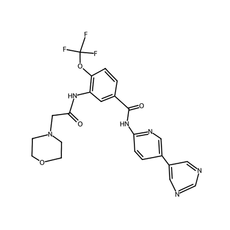 O=C(CN1CCOCC1)Nc1cc(C(=O)Nc2ccc(-c3cncnc3)cn2)ccc1OC(F)(F)F